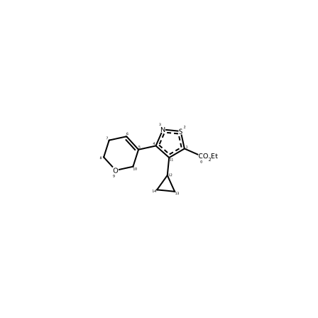 CCOC(=O)c1snc(C2=CCCOC2)c1C1CC1